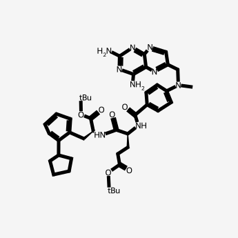 CN(Cc1cnc2nc(N)nc(N)c2n1)c1ccc(C(=O)N[C@@H](CCC(=O)OC(C)(C)C)C(=O)N[C@@H](Cc2ccccc2C2CCCC2)C(=O)OC(C)(C)C)cc1